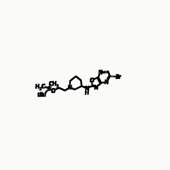 CC(C)(C)[Si](C)(C)OCCN1CCC[C@@H](Nc2nc3nc(Br)cnc3o2)C1